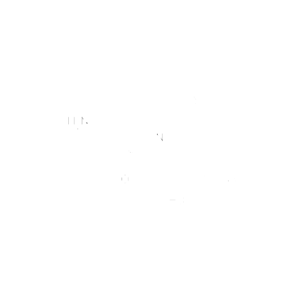 CC(=O)[C@H]1CSC2C[C@@H](N)C(=O)N21